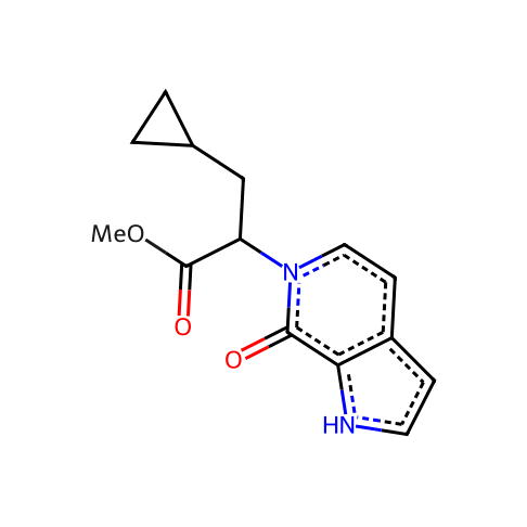 COC(=O)C(CC1CC1)n1ccc2cc[nH]c2c1=O